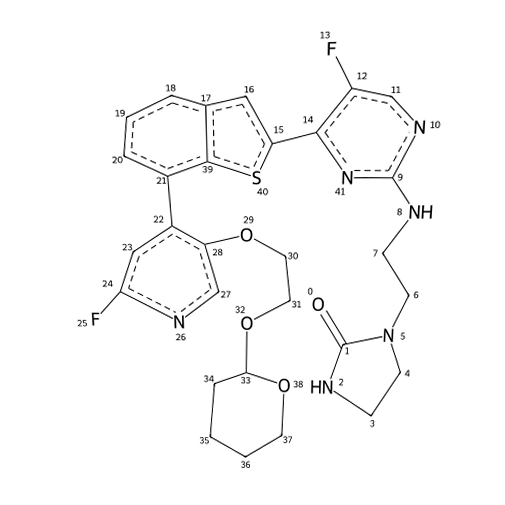 O=C1NCCN1CCNc1ncc(F)c(-c2cc3cccc(-c4cc(F)ncc4OCCOC4CCCCO4)c3s2)n1